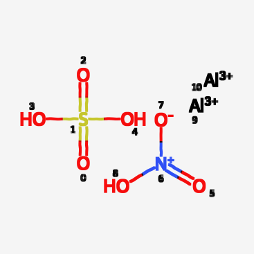 O=S(=O)(O)O.O=[N+]([O-])O.[Al+3].[Al+3]